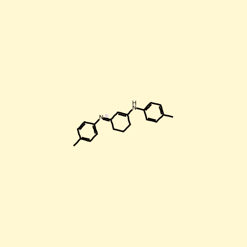 Cc1ccc(/N=C2/C=C(Nc3ccc(C)cc3)CCC2)cc1